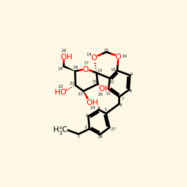 CCc1ccc(Cc2ccc3c(c2)[C@]2(OCO3)O[C@H](CO)[C@@H](O)[C@H](O)[C@H]2O)cc1